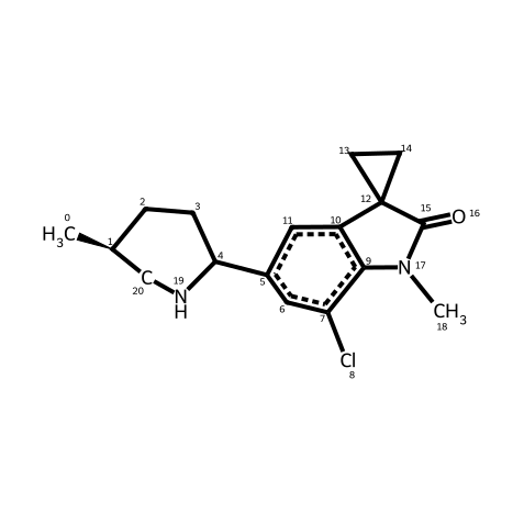 C[C@H]1CCC(c2cc(Cl)c3c(c2)C2(CC2)C(=O)N3C)NC1